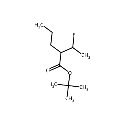 CCCC(C(=O)OC(C)(C)C)C(C)F